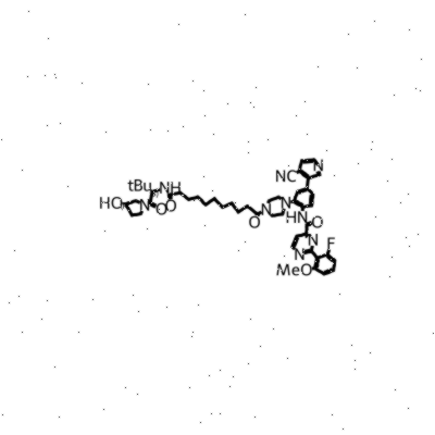 COc1cccc(F)c1-c1nccc(C(=O)Nc2ccc(-c3cnccc3C#N)cc2N2CCN(C(=O)CCCCCCCCCC(=O)N[C@H](C(=O)N3CC[C@@H](O)C3)C(C)(C)C)CC2)n1